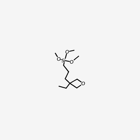 CCC1(CCC[Si](OC)(OC)OC)COC1